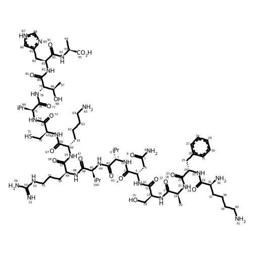 CC(C)[C@H](NC(=O)[C@H](CC(N)=O)NC(=O)[C@H](CO)NC(=O)[C@H](C)NC(=O)[C@H](Cc1ccccc1)NC(=O)[C@@H](N)CCCCN)C(=O)N[C@H](C(=O)N[C@@H](CCCNC(=N)N)C(=O)N[C@@H](CCCCN)C(=O)N[C@@H](CS)C(=O)N[C@H](C(=O)N[C@H](C(=O)N[C@@H](Cc1c[nH]cn1)C(=O)N[C@@H](C)C(=O)O)[C@@H](C)O)C(C)C)C(C)C